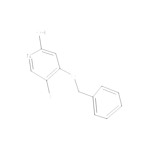 Oc1cc(OCc2ccccc2)c(I)cn1